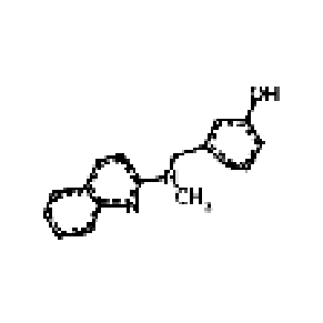 CN(Cc1cccc(O)c1)c1ccc2ccccc2n1